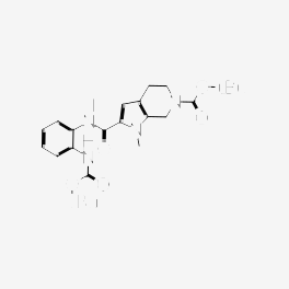 Cn1c(C(=O)Nc2ccccc2NC(=O)OC(C)(C)C)cc2c1CN(C(=O)OC(C)(C)C)CC2